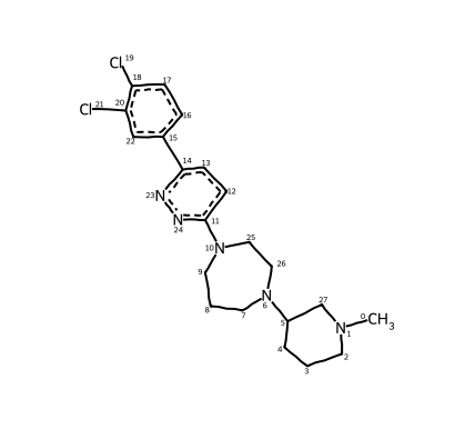 CN1CCCC(N2CCCN(c3ccc(-c4ccc(Cl)c(Cl)c4)nn3)CC2)C1